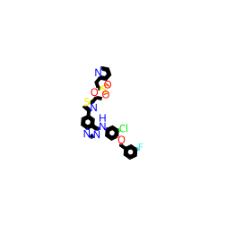 CC(OC(Cc1ccccn1)=S(=O)=O)c1nc(-c2ccc3ncnc(Nc4ccc(OCc5cccc(F)c5)c(Cl)c4)c3c2)cs1